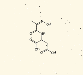 CC(=NO)C(=O)NC(CC(=O)O)C(=O)O